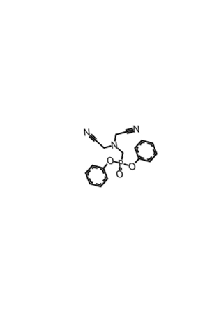 N#CCN(CC#N)CP(=O)(Oc1ccccc1)Oc1ccccc1